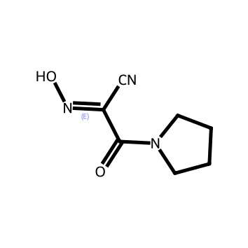 N#C/C(=N\O)C(=O)N1CCCC1